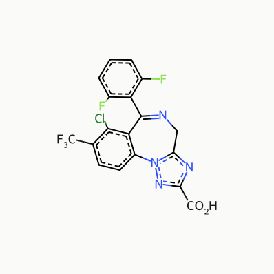 O=C(O)c1nc2n(n1)-c1ccc(C(F)(F)F)c(Cl)c1C(c1c(F)cccc1F)=NC2